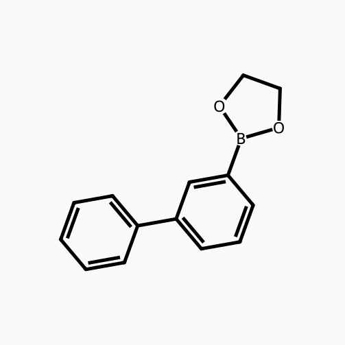 c1ccc(-c2cccc(B3OCCO3)c2)cc1